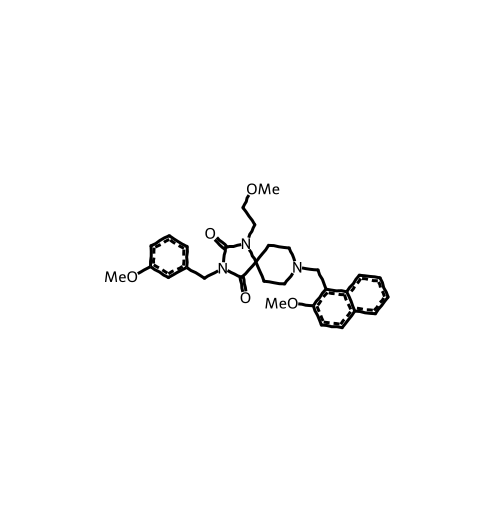 COCCN1C(=O)N(Cc2cccc(OC)c2)C(=O)C12CCN(Cc1c(OC)ccc3ccccc13)CC2